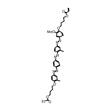 C=CC(=O)OCCCCOc1ccc(N=Nc2ccc(N=Nc3ccc(N=Nc4ccc(OCCCCOC(=O)CC)c(C)c4)cc3)c(C)c2)cc1OC